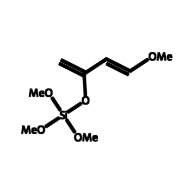 C=C(/C=C/OC)O[Si](OC)(OC)OC